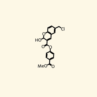 COC(=O)c1ccc(OC(=O)C2=Cc3cc(CCl)ccc3OC2O)cc1